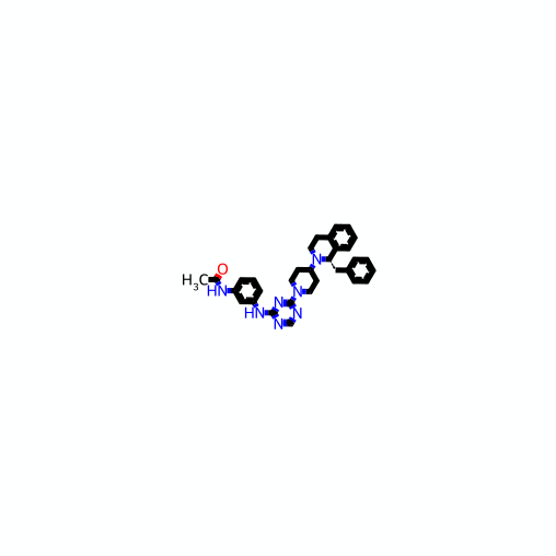 CC(=O)Nc1cccc(Nc2ncnc(N3CCC(N4CCc5ccccc5[C@@H]4Cc4ccccc4)CC3)n2)c1